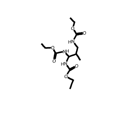 CCOC(=O)NCC(C)C(NC(=O)OCC)NC(=O)OCC